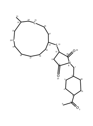 CC(=O)C1CCC(CN2C(=O)CC(SC3CCCCCCCC(C)CCCC3)C2=O)CC1